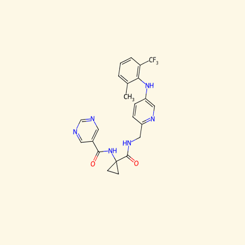 Cc1cccc(C(F)(F)F)c1Nc1ccc(CNC(=O)C2(NC(=O)c3cncnc3)CC2)nc1